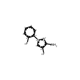 Nc1nn(-c2ccccc2F)cc1F